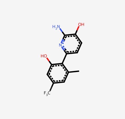 Cc1cc(C(F)(F)F)cc(O)c1-c1ccc(O)c(N)n1